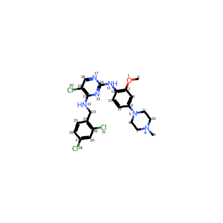 COc1cc(N2CCN(C)CC2)ccc1Nc1ncc(Cl)c(NCc2ccc(Cl)cc2Cl)n1